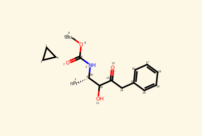 C1CC1.CCC[C@H](NC(=O)OC(C)(C)C)C(O)C(=O)Cc1ccccc1